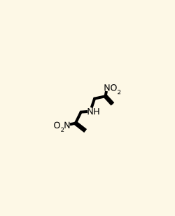 C=C(CNCC(=C)[N+](=O)[O-])[N+](=O)[O-]